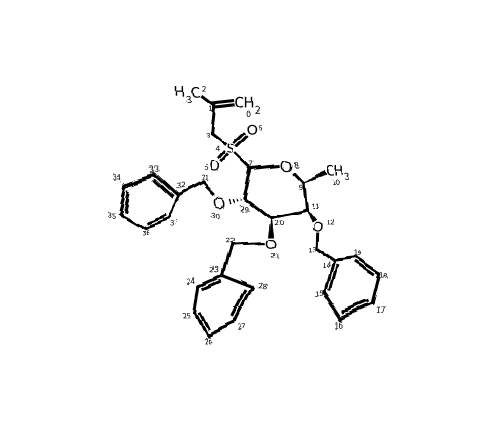 C=C(C)CS(=O)(=O)C1O[C@@H](C)[C@@H](OCc2ccccc2)[C@@H](OCc2ccccc2)[C@@H]1OCc1ccccc1